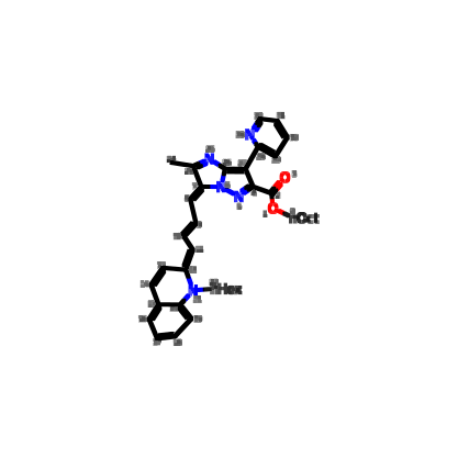 CCCCCCCCOC(=O)c1nn2\c(=C/C=C/C=C3\C=Cc4ccccc4N3CCCCCC)c(C)nc2c1-c1ccccn1